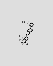 Cc1c(OCc2cnc(-c3cccc(C(=O)O)c3)cn2)ccc(C(=O)C2CC2)c1O